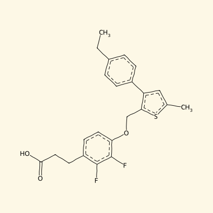 CCc1ccc(-c2cc(C)sc2COc2ccc(CCC(=O)O)c(F)c2F)cc1